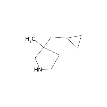 CC1(CC2CC2)CCNC1